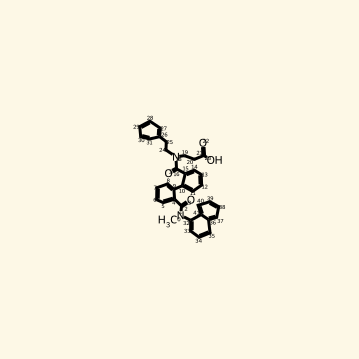 CN(C(=O)c1ccccc1-c1ccccc1C(=O)N(CCC(=O)O)CCc1ccccc1)c1cccc2ccccc12